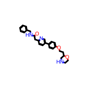 O=C(Cc1ccc(-c2ccc(OCCC3CNCCO3)cc2)cn1)NCc1ccccc1